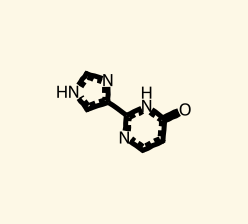 O=c1ccnc(-c2c[nH]cn2)[nH]1